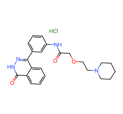 Cl.O=C(COCCN1CCCCC1)Nc1cccc(-c2n[nH]c(=O)c3ccccc23)c1